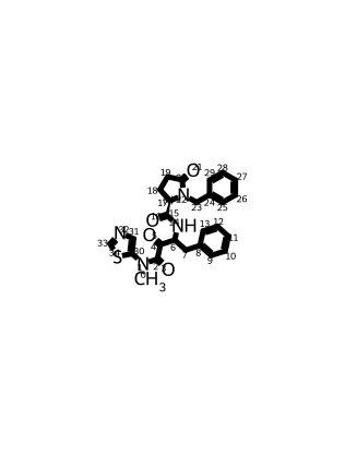 CN(C(=O)C(=O)C(Cc1ccccc1)NC(=O)[C@H]1CCC(=O)N1Cc1ccccc1)c1cncs1